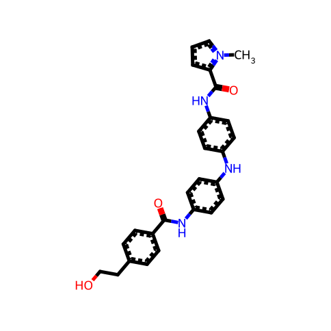 Cn1cccc1C(=O)Nc1ccc(Nc2ccc(NC(=O)c3ccc(CCO)cc3)cc2)cc1